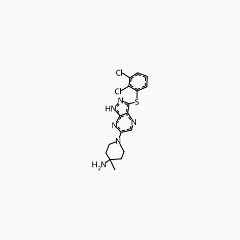 CC1(N)CCN(c2cnc3c(Sc4cccc(Cl)c4Cl)n[nH]c3n2)CC1